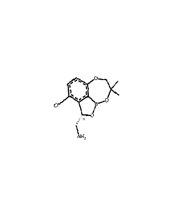 CC1(C)COc2ccc(Cl)c3c2B(O[C@@H]3CN)O1